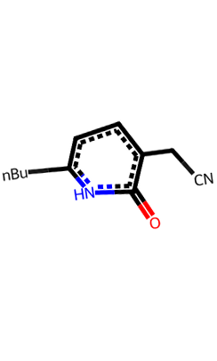 CCCCc1ccc(CC#N)c(=O)[nH]1